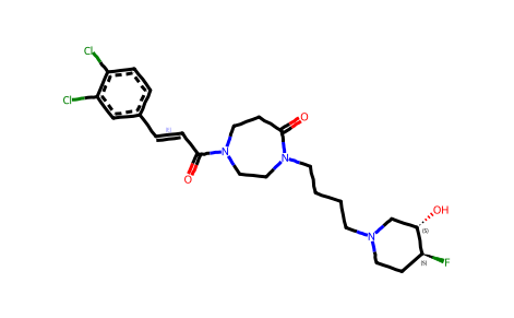 O=C(/C=C/c1ccc(Cl)c(Cl)c1)N1CCC(=O)N(CCCCN2CC[C@H](F)[C@@H](O)C2)CC1